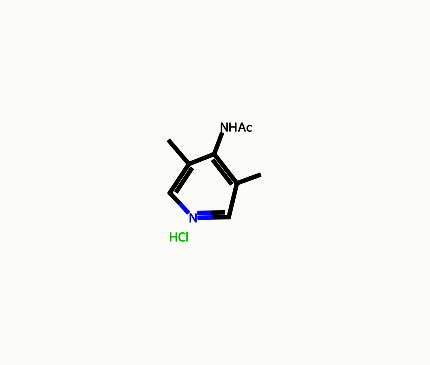 CC(=O)Nc1c(C)cncc1C.Cl